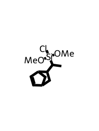 CO[Si](Cl)(OC)C(C)C1CC2C=CC1C2